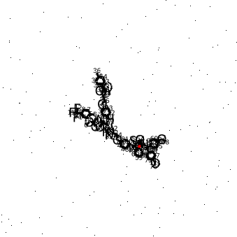 COC(=O)[C@H](Cc1ccc(C(F)(F)F)cc1)NC(=O)[C@H](Cc1ccc(OCCOS(=O)(=O)c2ccc(C)cc2)cc1)n1cc(COc2ccc3nc(S(=O)(=O)NC(c4ccccc4)(c4ccc(OC)cc4)c4ccc(OC)cc4)sc3c2)nn1